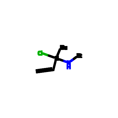 C=C[Si](Cl)(NCC)C(C)CC